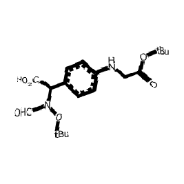 CC(C)(C)OC(=O)CNc1ccc(C(C(=O)O)N(C=O)OC(C)(C)C)cc1